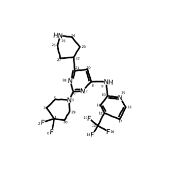 FC1(F)CCN(c2nc(Nc3cc(C(F)(F)F)ccn3)cc(C3CCNCC3)n2)CC1